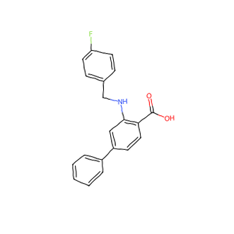 O=C(O)c1ccc(-c2ccccc2)cc1NCc1ccc(F)cc1